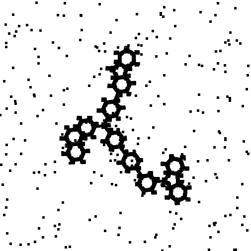 c1cc(-c2ccc(-c3ccc(N(c4ccc(-c5ccc6c(c5)oc5ccccc56)cc4)c4ccc5ccc6ccccc6c5c4)cc3)cc2)cc(-n2c3ccccc3c3ccccc32)c1